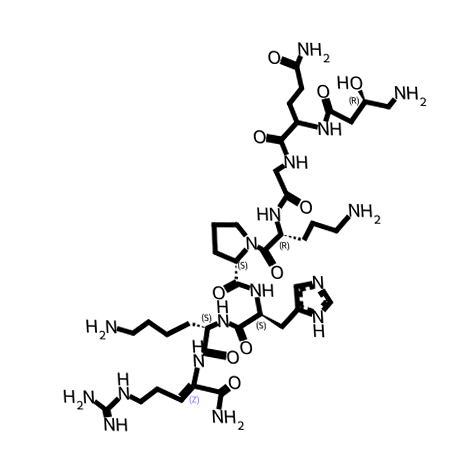 N=C(N)NCC/C=C(\NC(=O)[C@H](CCCCN)NC(=O)[C@H](Cc1cnc[nH]1)NC(=O)[C@@H]1CCCN1C(=O)[C@@H](CCCN)NC(=O)CNC(=O)C(CCC(N)=O)NC(=O)C[C@@H](O)CN)C(N)=O